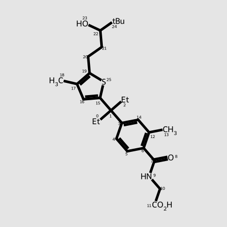 CCC(CC)(c1ccc(C(=O)NCC(=O)O)c(C)c1)c1cc(C)c(CCC(O)C(C)(C)C)s1